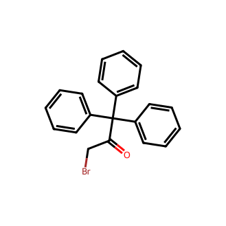 O=C(CBr)C(c1ccccc1)(c1ccccc1)c1ccccc1